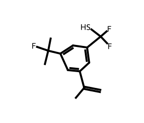 C=C(C)c1cc(C(C)(C)F)cc(C(F)(F)S)c1